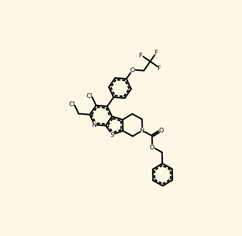 O=C(OCc1ccccc1)N1CCc2c(sc3nc(CCl)c(Cl)c(-c4ccc(OCC(F)(F)F)cc4)c23)C1